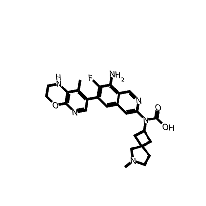 Cc1c(-c2cc3cc(N(C(=O)O)C4CC5(CCN(C)C5)C4)ncc3c(N)c2F)cnc2c1NCCO2